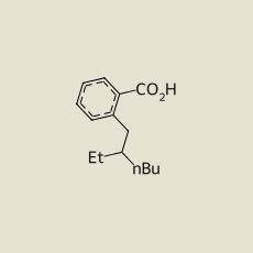 CCCCC(CC)Cc1ccccc1C(=O)O